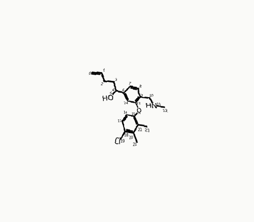 C=CCCC(O)c1ccc(CNC)c(Oc2ccc(Cl)c(C)c2C)c1